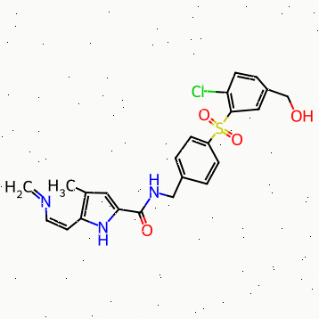 C=N/C=C\c1[nH]c(C(=O)NCc2ccc(S(=O)(=O)c3cc(CO)ccc3Cl)cc2)cc1C